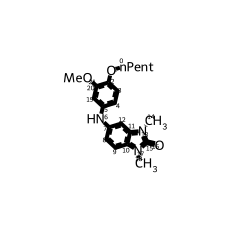 CCCCCOc1ccc(Nc2ccc3c(c2)n(C)c(=O)n3C)cc1OC